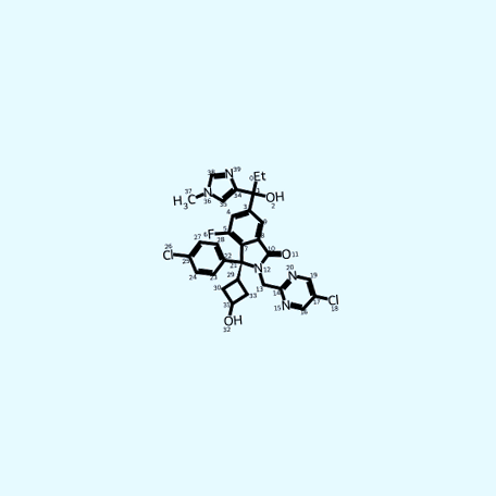 CCC(O)(c1cc(F)c2c(c1)C(=O)N(Cc1ncc(Cl)cn1)[C@@]2(c1ccc(Cl)cc1)C1CC(O)C1)c1cn(C)cn1